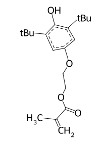 C=C(C)C(=O)OCCOc1cc(C(C)(C)C)c(O)c(C(C)(C)C)c1